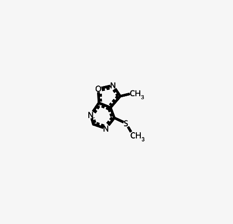 CSc1ncnc2onc(C)c12